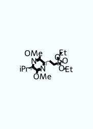 CCOP(=O)(CC[C@@H]1N=C(OC)[C@@H](C(C)C)N=C1OC)OCC